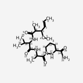 C/C=C/C(OC)C(C)C(=O)NC(C(=O)NC(C)C(=O)N1CCCC(C(N)=O)N1)C(C)C